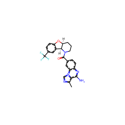 Cc1ncn2c1c(N)nc1ccc(C(=O)N3CCC[C@@H]4Oc5ccc(C(F)(F)F)cc5[C@@H]43)cc12